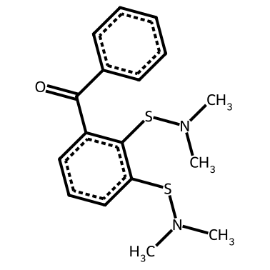 CN(C)Sc1cccc(C(=O)c2ccccc2)c1SN(C)C